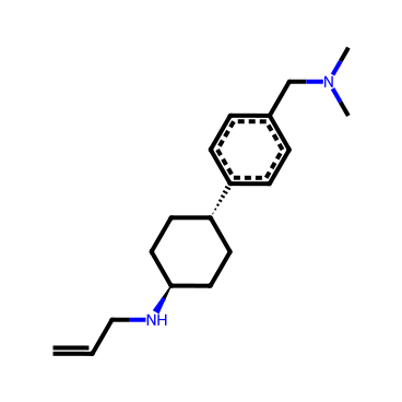 C=CCN[C@H]1CC[C@H](c2ccc(CN(C)C)cc2)CC1